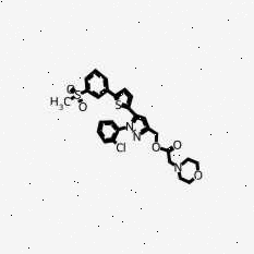 CS(=O)(=O)c1cccc(-c2ccc(-c3cc(COC(=O)CN4CCOCC4)nn3-c3ccccc3Cl)s2)c1